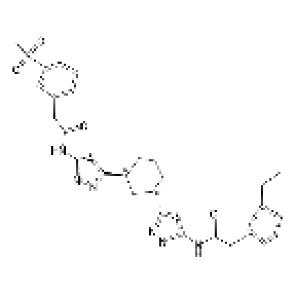 CCc1cccc(CC(=O)Nc2nnc([C@H]3CCC[C@H](c4nnc(NC(=O)Cc5cccc(S(C)(=O)=O)c5)s4)C3)s2)c1